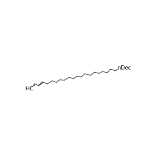 [CH]=CC=CCCCCCCCCCCCCCCCCCCCCCCCCCCC